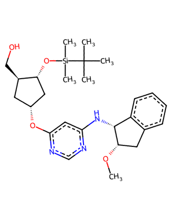 CO[C@H]1Cc2ccccc2[C@H]1Nc1cc(O[C@@H]2C[C@@H](CO)[C@H](O[Si](C)(C)C(C)(C)C)C2)ncn1